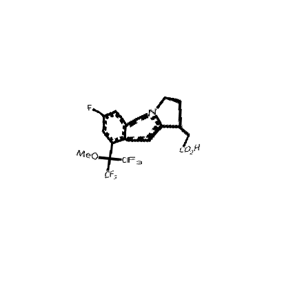 COC(c1cc(F)cc2c1cc1n2CCC1CC(=O)O)(C(F)(F)F)C(F)(F)F